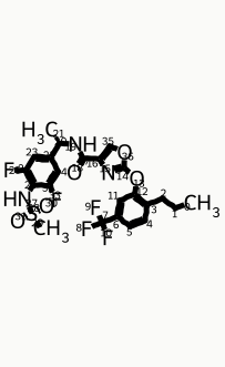 CCCc1ccc(C(F)(F)F)cc1Oc1nc(C(=O)N[C@H](C)c2cc(F)c(NS(C)(=O)=O)c(F)c2)co1